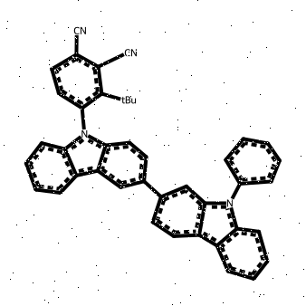 CC(C)(C)c1c(-n2c3ccccc3c3cc(-c4ccc5c6ccccc6n(-c6ccccc6)c5c4)ccc32)ccc(C#N)c1C#N